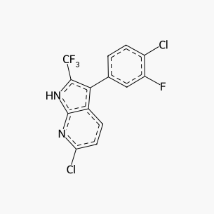 Fc1cc(-c2c(C(F)(F)F)[nH]c3nc(Cl)ccc23)ccc1Cl